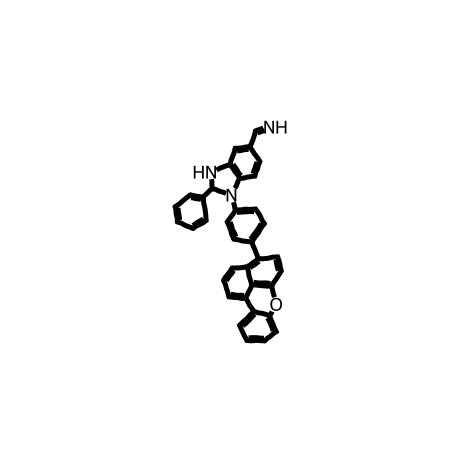 N=Cc1ccc2c(c1)NC(c1ccccc1)N2c1ccc(-c2ccc3c4c(cccc24)-c2ccccc2O3)cc1